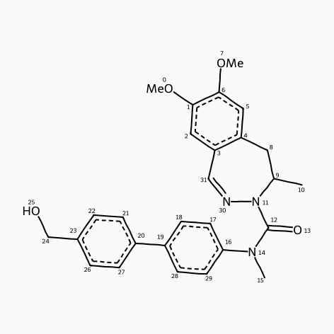 COc1cc2c(cc1OC)CC(C)N(C(=O)N(C)c1ccc(-c3ccc(CO)cc3)cc1)N=C2